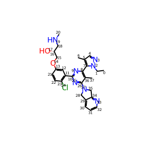 CCn1ncc(C)c1-c1nc(-c2cc(OC[C@H](O)CNC)ccc2Cl)nc(N2Cc3cccnc3C2)c1C